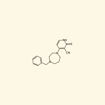 N#Cc1c(N2CCCN(Cc3ccccc3)CC2)cc[nH]c1=S